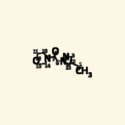 CCc1cnn(CC(=O)N2CCOCC2)c1